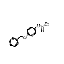 CCNOc1ccc(OCc2ccccc2)cc1